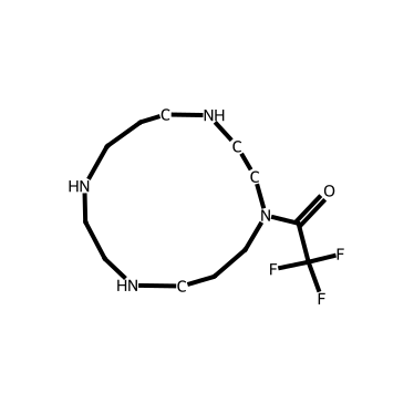 O=C(N1CCCNCCNCCCNCC1)C(F)(F)F